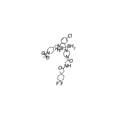 BC(B)(c1cc(Cl)ccc1NCC1CCN(S(C)(=O)=O)CC1)N1CCN(C(=O)CNC(=O)CC2(C)CCC(F)(F)CC2)CC1